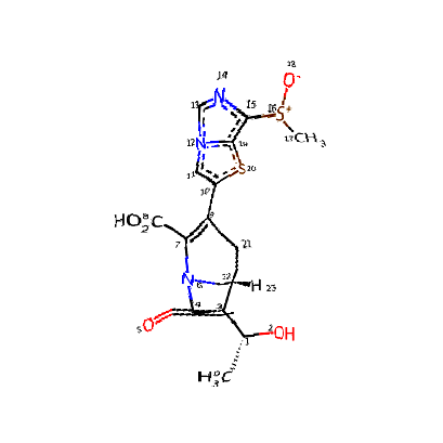 C[C@@H](O)[C@H]1C(=O)N2C(C(=O)O)=C(c3cn4cnc([S+](C)[O-])c4s3)C[C@H]12